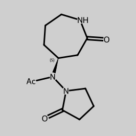 CC(=O)N([C@H]1CCCNC(=O)C1)N1CCCC1=O